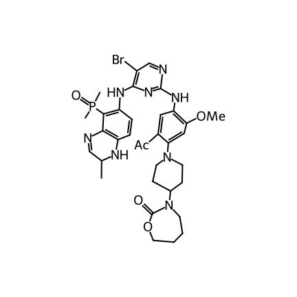 COc1cc(N2CCC(N3CCCCOC3=O)CC2)c(C(C)=O)cc1Nc1ncc(Br)c(Nc2ccc3c(c2P(C)(C)=O)N=CC(C)N3)n1